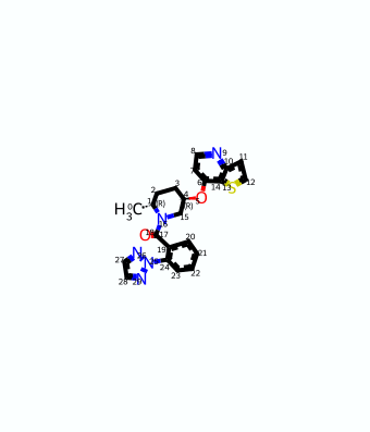 C[C@@H]1CC[C@@H](Oc2ccnc3ccsc23)CN1C(=O)c1ccccc1-n1nccn1